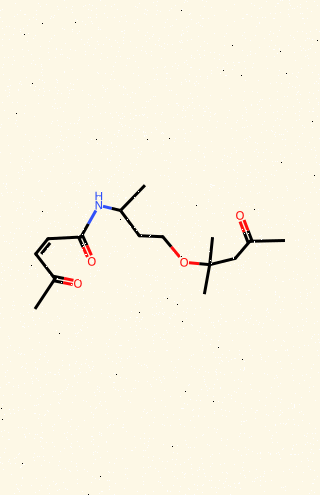 CC(=O)/C=C\C(=O)NC(C)CCOC(C)(C)CC(C)=O